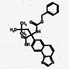 CC(C)(C)CC(NC(=O)OCc1ccccc1)(C(=O)O)c1ccc2c(ccc3ncnn32)c1